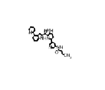 CCCC(=O)Nc1cncc(-c2ccc3[nH]nc(-c4cc5c(-c6ccccn6)cccc5[nH]4)c3n2)c1